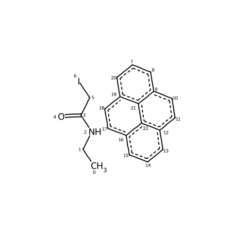 CCNC(=O)CI.c1cc2ccc3cccc4ccc(c1)c2c34